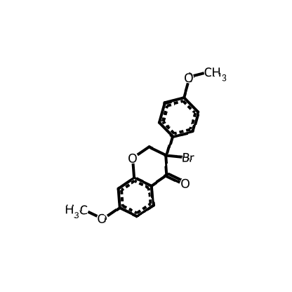 COc1ccc(C2(Br)COc3cc(OC)ccc3C2=O)cc1